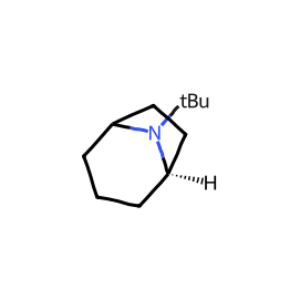 CC(C)(C)N1C2CCC[C@@H]1CC2